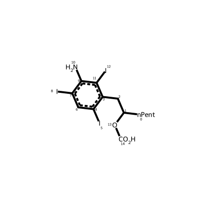 CCCCCC(Cc1c(I)cc(I)c(N)c1I)OC(=O)O